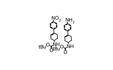 CC(C)(C)OC(=O)NC1CC=C(c2ccc(N)cc2)CC1.CC(C)(C)OC(=O)NC1CC=C(c2ccc([N+](=O)[O-])cc2)CC1